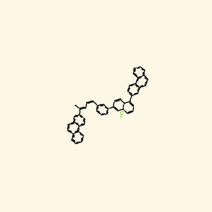 C/C(=C\C=C/c1cccc(C2=C[C@]3(F)C=CC=C(c4ccc5c(ccc6ccccc65)c4)C3C=C2)c1)c1ccc2c(ccc3ccccc32)c1